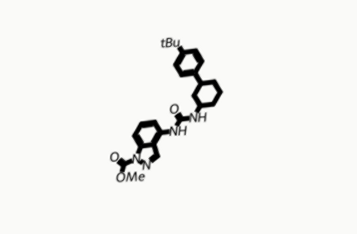 COC(=O)n1ncc2c(NC(=O)NC3CCCC(c4ccc(C(C)(C)C)cc4)C3)cccc21